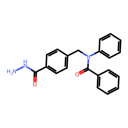 NNC(=O)c1ccc(CN(C(=O)c2ccccc2)c2ccccc2)cc1